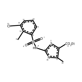 CCOC(=O)c1sc(NS(=O)(=O)c2cccc(Cl)c2C)nc1C